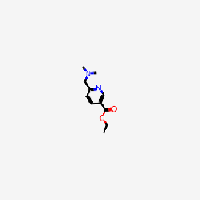 CCOC(=O)c1ccc(CN(C)C)nc1